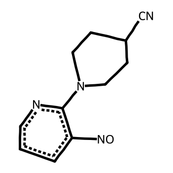 N#CC1CCN(c2ncccc2N=O)CC1